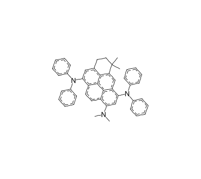 CN(C)c1cc(N(c2ccccc2)c2ccccc2)c2cc3c4c(cc(N(c5ccccc5)c5ccccc5)c5ccc1c2c54)CCC3(C)C